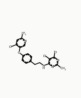 CCc1nc(C)nc(NCCc2ccc(Oc3cnc(C(F)(F)F)cc3Cl)cc2)c1Cl